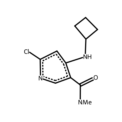 CNC(=O)c1cnc(Cl)cc1NC1CCC1